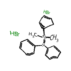 Br.Br.[CH3][Ti]([CH3])([C]1=CC=CC1)=[Si](c1ccccc1)c1ccccc1